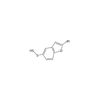 CC(C)c1cc2cc(SS)ccc2o1